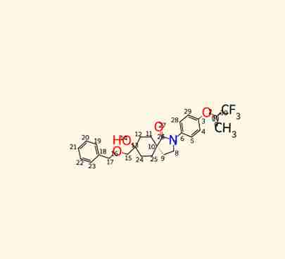 C[C@@H](Oc1ccc(N2CC[C@]3(CC[C@@](O)(COCc4ccccc4)CC3)C2=O)cc1)C(F)(F)F